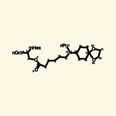 CCCCCCCCC(CCCCCC)COC(=O)CCCCCN(CCC)C1CCC2(CC1)OCCO2